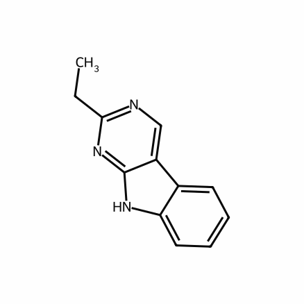 CCc1ncc2c(n1)[nH]c1ccccc12